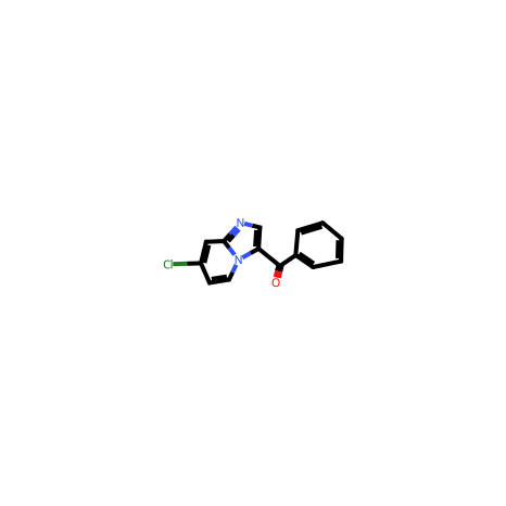 O=C(c1ccccc1)c1cnc2cc(Cl)ccn12